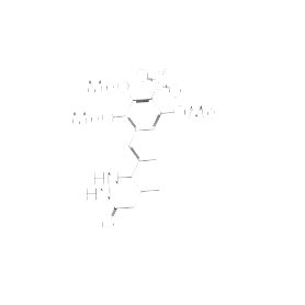 COc1cc(/C=C(\C)C2NNC(=O)CC2C)c(OC)c(OC)c1S(C)(=O)=O